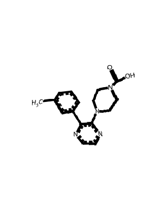 Cc1cccc(-c2nccnc2N2CCN(C(=O)O)CC2)c1